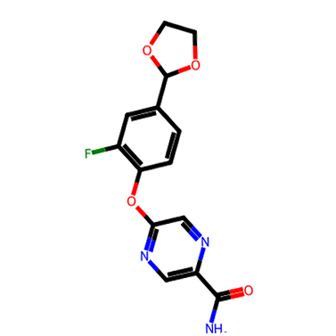 NC(=O)c1cnc(Oc2ccc(C3OCCO3)cc2F)cn1